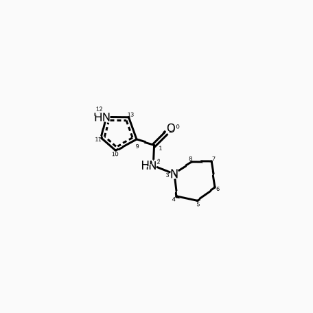 O=C(NN1CCCCC1)c1cc[nH]c1